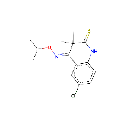 CC(C)ON=C1c2cc(Cl)ccc2NC(=S)C1(C)C